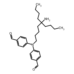 CCCCC(N)(CCCC)CCCCN(c1ccc(C=O)cc1)c1ccc(C=O)cc1